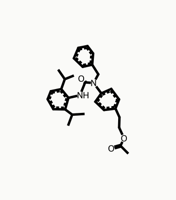 CC(=O)OCCc1ccc(N(Cc2ccccc2)C(=O)Nc2c(C(C)C)cccc2C(C)C)cc1